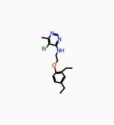 CCc1ccc(OCCNc2ncnc(C)c2Br)c(CC)c1